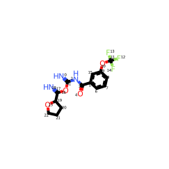 N=C(NC(=O)c1cccc(OC(F)(F)F)c1)OC(=N)C1CCCO1